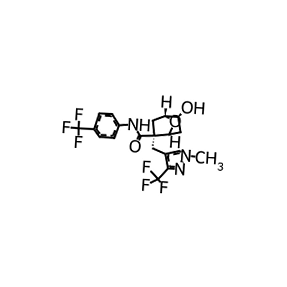 Cn1cc(C[C@]2(C(=O)Nc3ccc(C(F)(F)F)cc3)C[C@H]3O[C@@H]2C[C@@H]3O)c(C(F)(F)F)n1